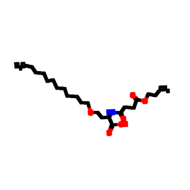 CCCCCCCCCCCCOCCC(NC(=O)CCC(=O)OCCC)C(=O)O